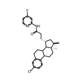 C=C1C[C@@H](CCC(=O)Nc2cc(F)ccn2)C2C3CCc4cc(Cl)ccc4C3CC[C@]12C